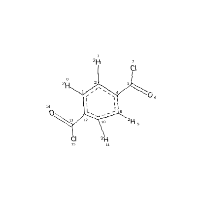 [2H]c1c([2H])c(C(=O)Cl)c([2H])c([2H])c1C(=O)Cl